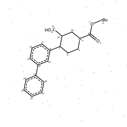 CC(C)(C)OC(=O)N1CCC(c2cccc(-c3ccccc3)c2)C(C(=O)O)C1